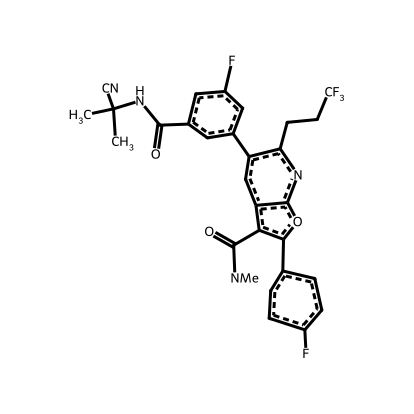 CNC(=O)c1c(-c2ccc(F)cc2)oc2nc(CCC(F)(F)F)c(-c3cc(F)cc(C(=O)NC(C)(C)C#N)c3)cc12